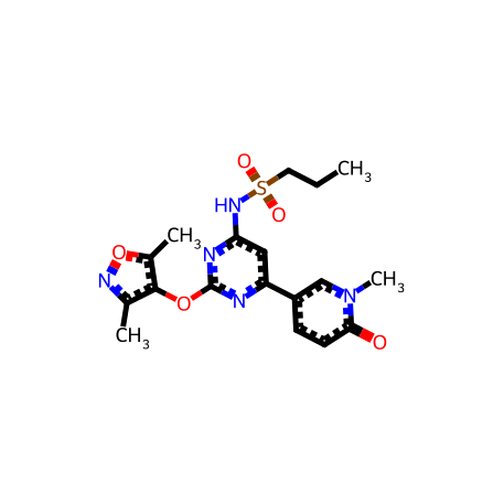 CCCS(=O)(=O)Nc1cc(-c2ccc(=O)n(C)c2)nc(Oc2c(C)noc2C)n1